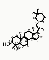 C[C@H](CN1CCCC(C)(C)C1)[C@H]1CC=C2C3=C(CC[C@@]21C)[C@@]1(C)CC[C@H](O)C(C)(C)[C@@H]1CC3